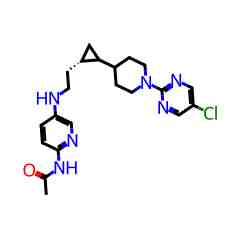 CC(=O)Nc1ccc(NCC[C@@H]2CC2C2CCN(c3ncc(Cl)cn3)CC2)cn1